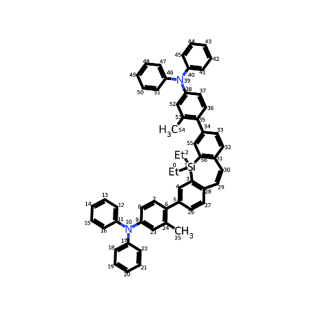 CC[Si]1(CC)c2cc(-c3ccc(N(c4ccccc4)c4ccccc4)cc3C)ccc2C=Cc2ccc(-c3ccc(N(c4ccccc4)c4ccccc4)cc3C)cc21